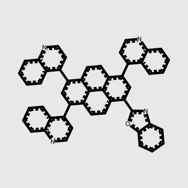 c1ccc2oc(-c3cc(-c4ccnc5ccccc45)c4ccc5c(-c6ccnc7ccccc67)cc(-c6ccnc7ccccc67)c6ccc3c4c65)nc2c1